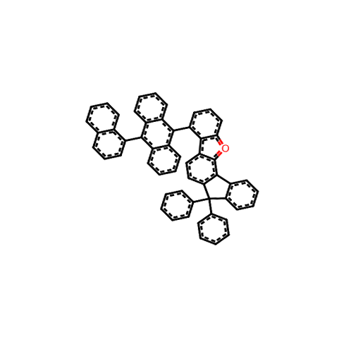 c1ccc(C2(c3ccccc3)c3ccccc3-c3c2ccc2c3oc3cccc(-c4c5ccccc5c(-c5cccc6ccccc56)c5ccccc45)c32)cc1